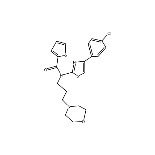 O=C(c1cccs1)N(CCCN1CCOCC1)c1nc(-c2ccc(Cl)cc2)cs1